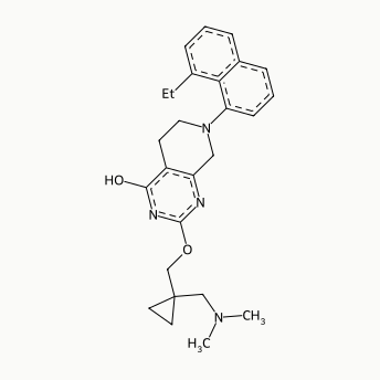 CCc1cccc2cccc(N3CCc4c(O)nc(OCC5(CN(C)C)CC5)nc4C3)c12